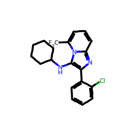 FC(F)(F)c1cccc2nc(-c3ccccc3Cl)c(NC3CCCCC3)n12